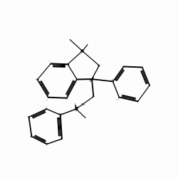 CC(C)(CC1(c2ccccc2)CC(C)(C)c2ccccc21)c1ccccc1